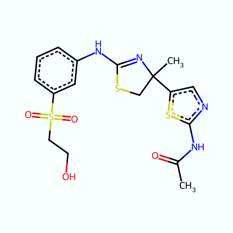 CC(=O)Nc1ncc(C2(C)CSC(Nc3cccc(S(=O)(=O)CCO)c3)=N2)s1